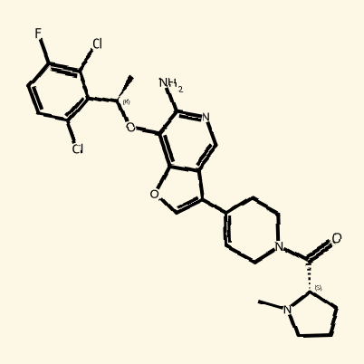 C[C@@H](Oc1c(N)ncc2c(C3=CCN(C(=O)[C@@H]4CCCN4C)CC3)coc12)c1c(Cl)ccc(F)c1Cl